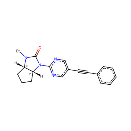 CCN1C(=O)N(c2ncc(C#Cc3ccccc3)cn2)[C@@H]2CCC[C@@H]21